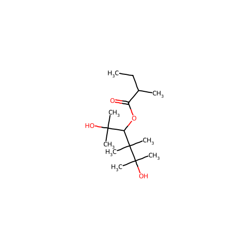 CCC(C)C(=O)OC(C(C)(C)O)C(C)(C)C(C)(C)O